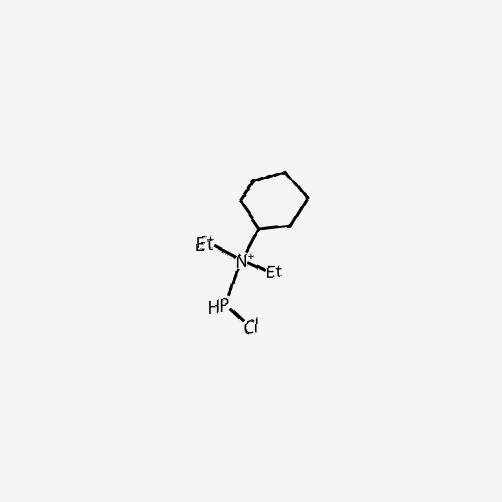 CC[N+](CC)(PCl)C1CCCCC1